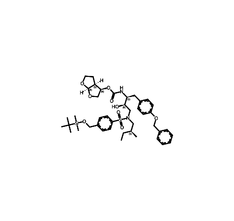 CC[C@H](C)CN(C[C@@H](O)[C@H](Cc1ccc(OCc2ccccc2)cc1)NC(=O)O[C@H]1CO[C@H]2OCC[C@H]21)S(=O)(=O)c1ccc(CO[Si](C)(C)C(C)(C)C)cc1